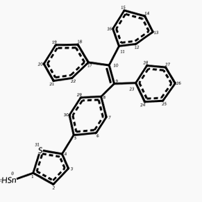 [SnH][c]1ccc(-c2ccc(C(=C(c3ccccc3)c3ccccc3)c3ccccc3)cc2)s1